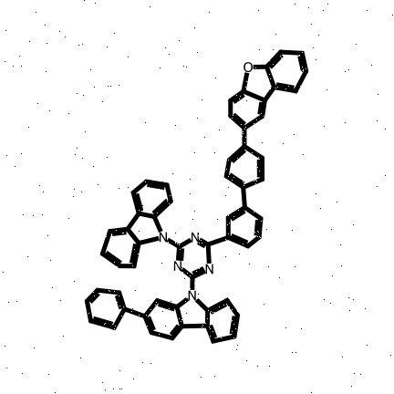 c1ccc(-c2ccc3c4ccccc4n(-c4nc(-c5cccc(-c6ccc(-c7ccc8oc9ccccc9c8c7)cc6)c5)nc(-n5c6ccccc6c6ccccc65)n4)c3c2)cc1